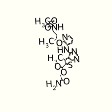 Cc1c(C(=O)OCC(N)=O)sc2ncnc(Nc3cccnc3OC(C)CCNS(C)(=O)=O)c12